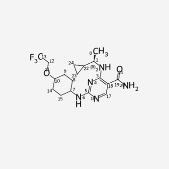 C[C@@H](Nc1nc(NC2CCC(OCC(F)(F)F)CC2)ncc1C(N)=O)C1CC1